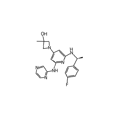 C[C@H](Nc1cc(N2CC(C)(O)C2)cc(Nc2cnccn2)n1)c1ccc(F)cc1